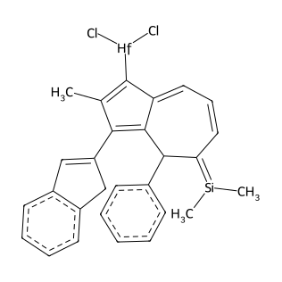 CC1=[C]([Hf]([Cl])[Cl])C2=CC=CC(=[Si](C)C)C(c3ccccc3)C2=C1C1=Cc2ccccc2C1